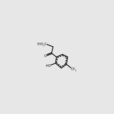 CCOC(=O)CC(=O)c1ccc(C(F)(F)F)cc1O